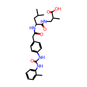 Cc1ccccc1NC(=O)Nc1ccc(CC(=O)NC(CC(C)C)C(=O)NCC(C)C(=O)O)cc1